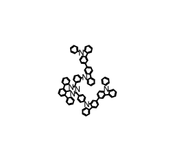 c1ccc(-c2cccc(-c3ccccc3)c2-c2nc(-c3ccc(-n4c5ccccc5c5ccc(-c6ccc7c(c6)c6ccccc6n7-c6ccccc6)cc54)cc3)nc(-c3cccc(-n4c5ccccc5c5ccc(-c6ccc7c(c6)c6ccccc6n7-c6ccccc6)cc54)c3)n2)cc1